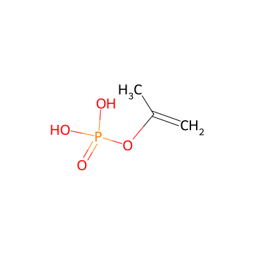 C=C(C)OP(=O)(O)O